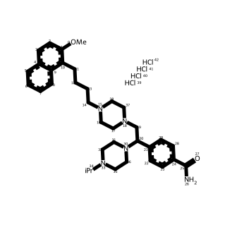 COc1ccc2ccccc2c1CCCCN1CCN(CC(c2ccc(C(N)=O)cc2)N2CCN(C(C)C)CC2)CC1.Cl.Cl.Cl.Cl